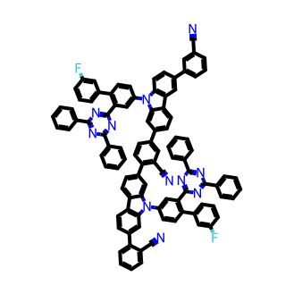 N#Cc1cccc(-c2ccc3c(c2)c2ccc(-c4ccc(-c5ccc6c7ccc(-c8ccccc8C#N)cc7n(-c7ccc(-c8cccc(F)c8)c(-c8nc(-c9ccccc9)nc(-c9ccccc9)n8)c7)c6c5)c(C#N)c4)cc2n3-c2ccc(-c3cccc(F)c3)c(-c3nc(-c4ccccc4)nc(-c4ccccc4)n3)c2)c1